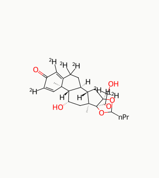 [2H]C1=C[C@@]2(C)C(=C([2H])C1=O)C([2H])([2H])C[C@@H]1[C@@H]2[C@@H](O)C[C@@]2(C)[C@H]1C[C@H]1OC(CCC)O[C@]12C(=O)C([2H])([2H])O